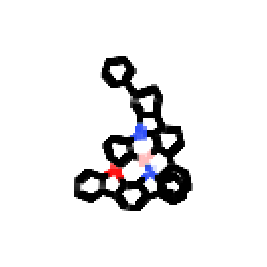 C1=CC2Oc3c(ccc4c5ccccc5n(B5c6ccccc6-n6c7cc(-c8ccccc8)ccc7c7ccc(-c8ccccc8)c5c76)c34)C2C=C1